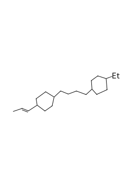 CC=CC1CCC(CCCCC2CCC(CC)CC2)CC1